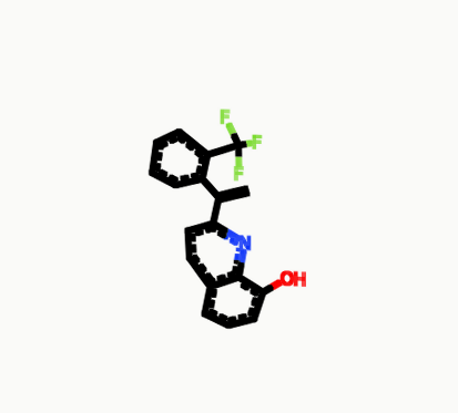 C=C(c1ccc2cccc(O)c2n1)c1ccccc1C(F)(F)F